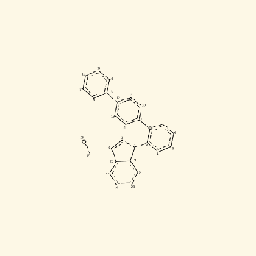 C1=CC(c2ccccc2-c2ccc(-c3ccccc3)cc2)c2ccccc21.C[O]